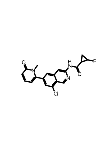 Cn1c(-c2cc(Cl)c3cnc(NC(=O)C4CC4F)cc3c2)cccc1=O